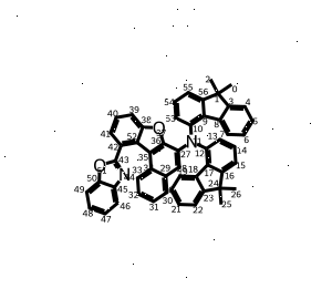 CC1(C)c2ccccc2-c2c(N(c3cccc4c3-c3ccccc3C4(C)C)c3cc4ccccc4c4c3oc3cccc(-c5nc6ccccc6o5)c34)cccc21